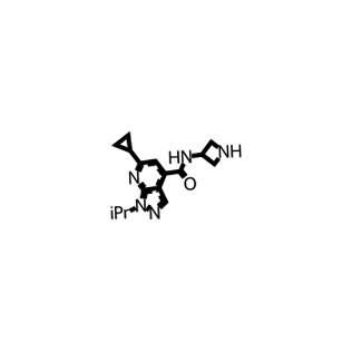 CC(C)n1ncc2c(C(=O)NC3CNC3)cc(C3CC3)nc21